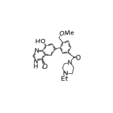 CCN1CCN(C(=O)c2ccc(COC)c(-c3cc(O)c4nc[nH]c(=O)c4c3)c2)CC1